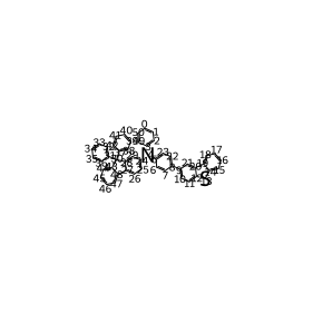 c1ccc(N(c2ccc(-c3ccc4sc5ccccc5c4c3)cc2)c2ccc3c(c2)C(c2ccccc2)(c2ccccc2)c2ccccc2-3)cc1